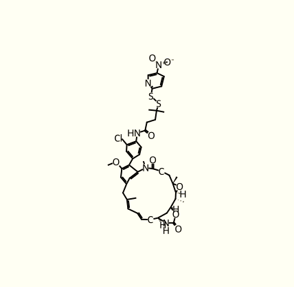 COc1cc2cc(c1-c1ccc(NC(=O)CCC(C)(C)SSc3ccc([N+](=O)[O-])cn3)c(Cl)c1)N(C)C(=O)CC[C@]1(C)O[C@H]1[C@H](C)[C@@H]1C[C@H](C/C=C/C=C(\C)C2)NC(=O)O1